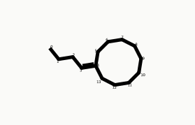 CCCC=C1CCCCCCCCC1